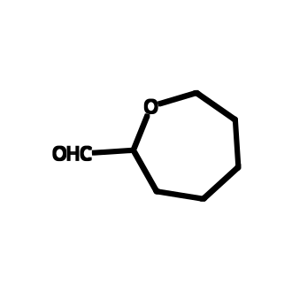 O=CC1CCCCCO1